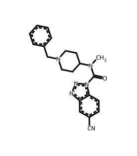 CN(C(=O)n1nnc2cc(C#N)ccc21)C1CCN(Cc2ccccc2)CC1